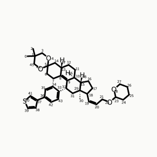 CC1(C)COC2(CCC3=C4[C@@H](CC[C@H]3C2)[C@@H]2CCC(/C=C\COC3CCCCO3)[C@@]2(C)C[C@@H]4c2ccc(-c3ccsc3)cc2)OC1